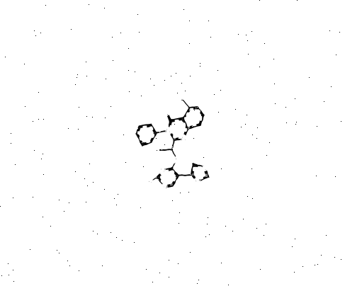 CC(Nc1nc(N)ncc1-c1cscn1)c1nc2cccc(Cl)c2c(=O)n1-c1ccccc1